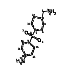 NCc1ccc(S(=O)(=O)c2ccc(N)cc2)cc1